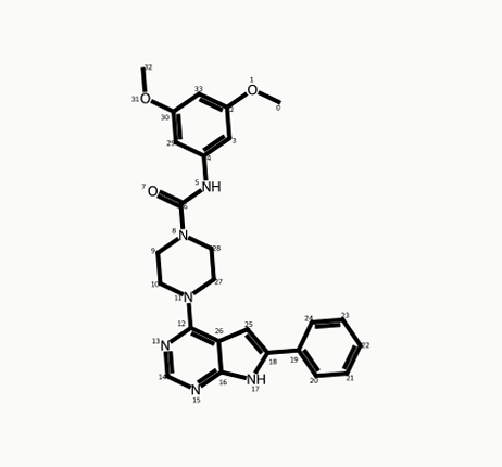 COc1cc(NC(=O)N2CCN(c3ncnc4[nH]c(-c5ccccc5)cc34)CC2)cc(OC)c1